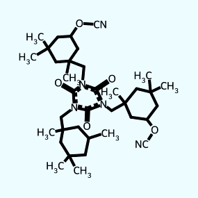 CC1CC(C)(C)CC(C)(Cn2c(=O)n(CC3(C)CC(OC#N)CC(C)(C)C3)c(=O)n(CC3(C)CC(OC#N)CC(C)(C)C3)c2=O)C1